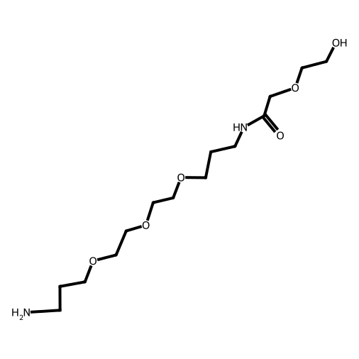 NCCCOCCOCCOCCCNC(=O)COCCO